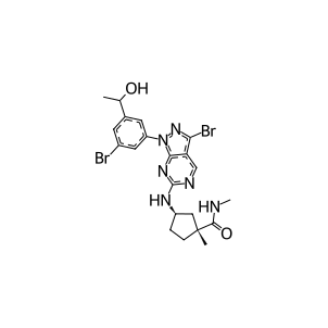 CNC(=O)[C@]1(C)CC[C@@H](Nc2ncc3c(Br)nn(-c4cc(Br)cc(C(C)O)c4)c3n2)C1